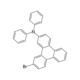 Brc1ccc2c3ccccc3c3ccc(N(c4ccccc4)c4ccccc4)cc3c2c1